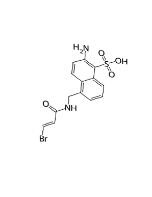 Nc1ccc2c(CNC(=O)C=CBr)cccc2c1S(=O)(=O)O